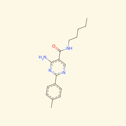 CCCCCNC(=O)c1cnc(-c2ccc(C)cc2)nc1N